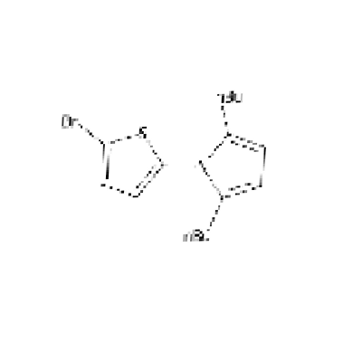 CCCCc1ccc(CCCC)n1-c1ccc(Br)s1